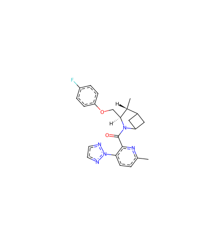 Cc1ccc(-n2nccn2)c(C(=O)N2C3CC(C3)[C@@H](C)[C@@H]2COc2ccc(F)cc2)n1